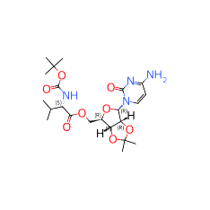 CC(C)[C@H](NC(=O)OC(C)(C)C)C(=O)OC[C@H]1O[C@@H](n2ccc(N)nc2=O)[C@@H]2OC(C)(C)O[C@@H]21